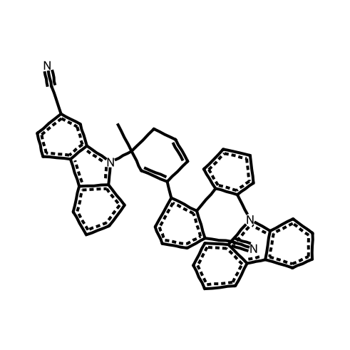 CC1(n2c3ccccc3c3ccc(C#N)cc32)C=C(c2cccc(C#N)c2-c2ccccc2-n2c3ccccc3c3ccccc32)C=CC1